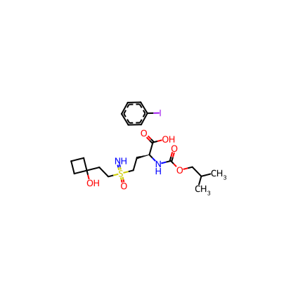 CC(C)COC(=O)N[C@@H](CCS(=N)(=O)CCC1(O)CCC1)C(=O)O.Ic1ccccc1